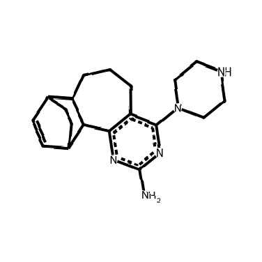 Nc1nc2c(c(N3CCNCC3)n1)CCCC1C3C=CC(CC3)C21